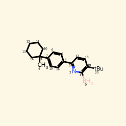 Bc1nc(-c2ccc(C3(C)CCCCC3)cc2)ccc1C(C)(C)C